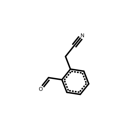 N#CCc1ccccc1C=O